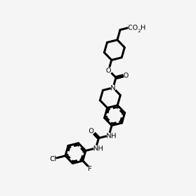 O=C(O)CC1CCC(OC(=O)N2CCc3cc(NC(=O)Nc4ccc(Cl)cc4F)ccc3C2)CC1